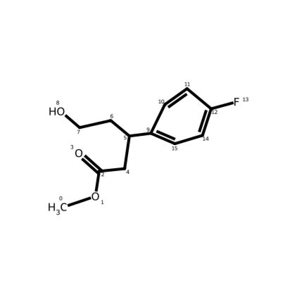 COC(=O)CC(CCO)c1ccc(F)cc1